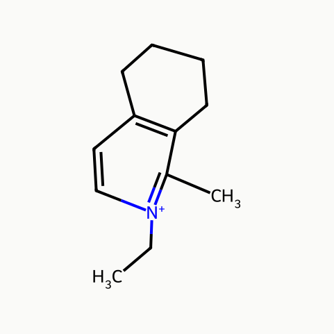 CC[n+]1ccc2c(c1C)CCCC2